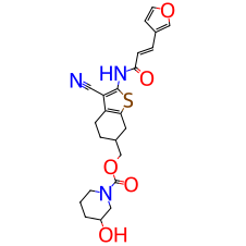 N#Cc1c(NC(=O)C=Cc2ccoc2)sc2c1CCC(COC(=O)N1CCCC(O)C1)C2